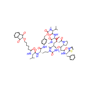 CC[C@H](C)[C@@H]([C@@H](CC(=O)N1CCC[C@H]1C(OC)[C@@H](C)C(=O)N[C@@H](Cc1ccccc1)c1nccs1)OC)N(C)C(=O)[C@@H](NC(=O)[C@H](C(C)C)N(C)C(=O)OCc1ccc(NC(=O)[C@H](CCCNC(N)=O)NC(=O)[C@@H](NC(=O)CCCCCOC2C(=O)c3ccccc3C2=O)C(C)C)cc1)C(C)C